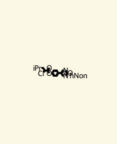 CCCCCCCCCOc1ncc(-c2ccc(OC(=O)C(Cl)CC(C)C)cc2)cn1